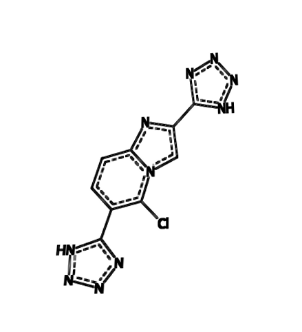 Clc1c(-c2nnn[nH]2)ccc2nc(-c3nnn[nH]3)cn12